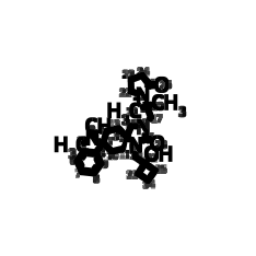 CN(C)[C@]1(c2ccccc2)CC[C@@]2(CC1)CN(CC(C)(C)N1CCCC1=O)C(=O)N2CC1(O)CCC1